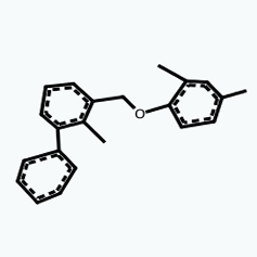 Cc1ccc(OCc2cccc(-c3ccccc3)c2C)c(C)c1